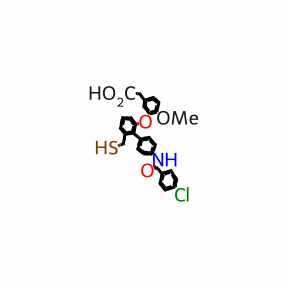 COc1ccc(CC(=O)O)cc1Oc1cccc(CS)c1-c1ccc(NC(=O)c2ccc(Cl)cc2)cc1